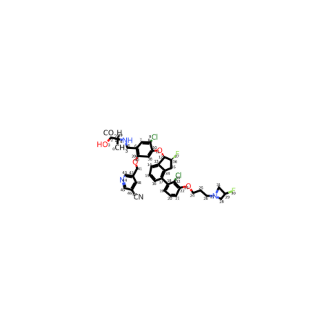 CC(CO)(NCc1cc(Cl)c(O[C@@H]2c3cccc(-c4cccc(OCCCN5CC(F)C5)c4Cl)c3C[C@@H]2F)cc1OCc1cncc(C#N)c1)C(=O)O